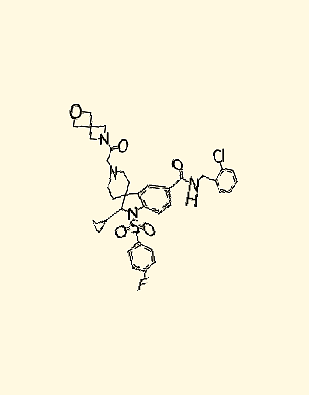 O=C(NCc1ccccc1Cl)c1ccc2c(c1)C1(CCN(CC(=O)N3CC4(COC4)C3)CC1)C(C1CC1)N2S(=O)(=O)c1ccc(F)cc1